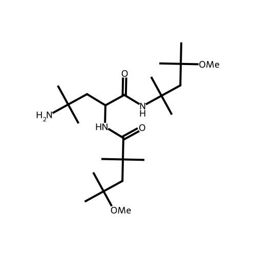 COC(C)(C)CC(C)(C)NC(=O)C(CC(C)(C)N)NC(=O)C(C)(C)CC(C)(C)OC